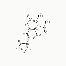 O=C(O)c1c(O)c(Br)cc2nc(-c3cccs3)cnc12